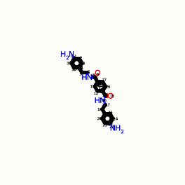 Nc1ccc(CCNC(=O)C23CCC(C(=O)NCCc4ccc(N)cc4)(CC2)CC3)cc1